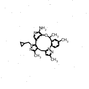 Cc1ccc2c(c1)C(C)Oc1cc(cnc1N)-c1c(c(C)nn1CC1CC1)Cc1cc(C)nn1-2